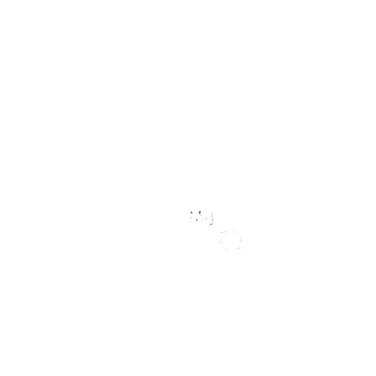 CCCCCCCCCCCC[C](C)([Mg][CH3])c1ccccc1